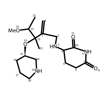 C=C(CNC1CCC(=O)NC1=O)C(C)(O[C@@H]1CCCNC1)C(C)OC